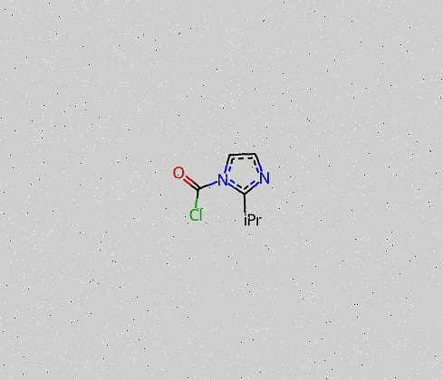 CC(C)c1nccn1C(=O)Cl